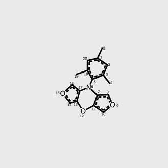 Cc1cc(C)c(N2c3cocc3Oc3cocc32)c(C)c1